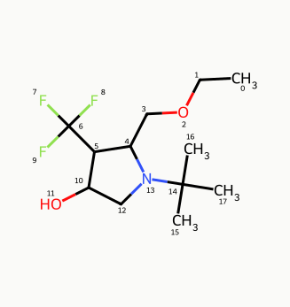 CCOCC1C(C(F)(F)F)C(O)CN1C(C)(C)C